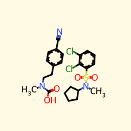 CN(C1CCCC1)S(=O)(=O)c1cccc(Cl)c1Cl.CN(CCc1ccc(C#N)cc1)C(=O)O